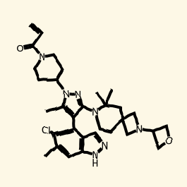 C=CC(=O)N1CCC(n2nc(N3CCC4(CN(C5COC5)C4)CC3(C)C)c(-c3c(Cl)c(C)cc4[nH]ncc34)c2C)CC1